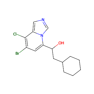 OC(CC1CCCCC1)c1cc(Br)c(Cl)c2cncn12